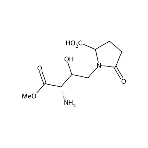 COC(=O)[C@@H](N)C(O)CN1C(=O)CCC1C(=O)O